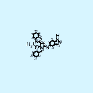 CN1/C(=C2/S/C(=N\c3ccc4[nH]ncc4c3)N(Cc3ccccc3)C2=O)Sc2ccccc21